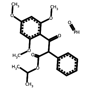 COc1cc(OC)c(C(=O)C(C(=O)OC(C)C)c2ccccc2)c(OC)c1.O=P